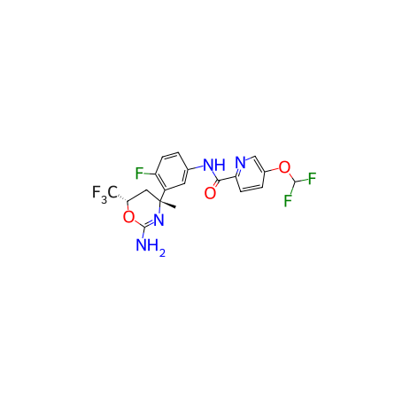 C[C@]1(c2cc(NC(=O)c3ccc(OC(F)F)cn3)ccc2F)C[C@@H](C(F)(F)F)OC(N)=N1